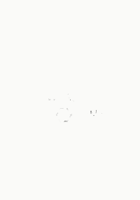 COc1ccc(C)c2c1N=C(C)C(Br)C2=O